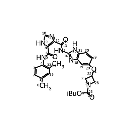 Cc1ccc(NC(=O)c2[nH]cnc2C(=O)Nc2nc3cc(OC4CN(C(=O)OCC(C)C)C4)ccc3[nH]2)c(C)c1